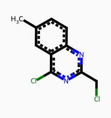 Cc1ccc2nc(CCl)nc(Cl)c2c1